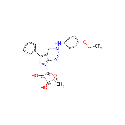 C[C@H]1O[C@@H](n2cc(-c3ccccc3)c3c2N=CN(Nc2ccc(OCC(F)(F)F)cc2)C3)[C@H](O)[C@@H]1O